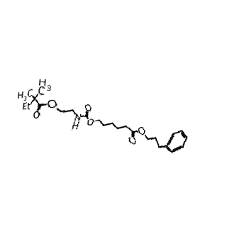 CCC(C)(C)C(=O)OCCNC(=O)OCCCCCC(=O)OCCCc1ccccc1